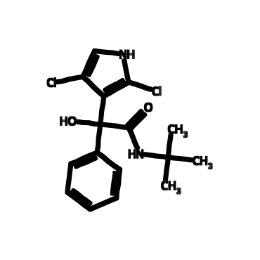 CC(C)(C)NC(=O)C(O)(c1ccccc1)c1c(Cl)c[nH]c1Cl